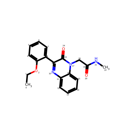 CCOc1ccccc1-c1nc2ccccc2n(CC(=O)NC)c1=O